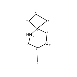 IC1CNC2(CCC2)CO1